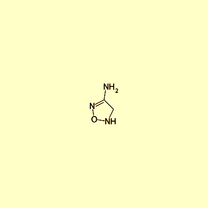 NC1=NONC1